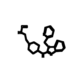 O=CNCCN1CCC(Nc2nc3ccccc3n2Cc2ccccn2)CC1